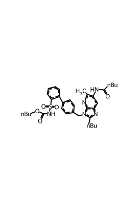 CCCCOC(=O)NS(=O)(=O)c1ccccc1-c1ccc(Cn2c(CCCC)nc3cc(NC(=O)CCCC)c(C)nc32)cc1